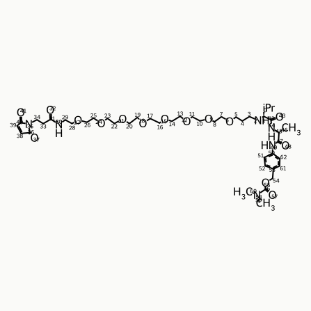 CC(C)[C@H](NCCCOCCOCCOCCOCCOCCOCCOCCOCCNC(=O)CCN1C(=O)C=CC1=O)C(=O)N[C@@H](C)C(=O)Nc1ccc(COC(=O)N(C)C)cc1